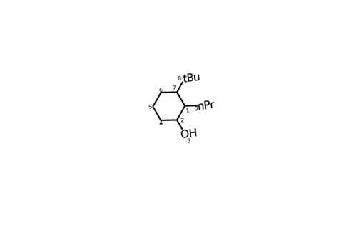 CCCC1C(O)CCCC1C(C)(C)C